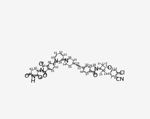 CC1(C)[C@H](Oc2ccc(C#N)c(Cl)c2)C(C)(C)[C@H]1N1Cc2cc(C#CC3CCN(C4=CN(c5ccc6c(c5)C(=O)N(C5CCC(=O)NC5=O)C6=O)C=CC=C4)CC3)ccc2C1=O